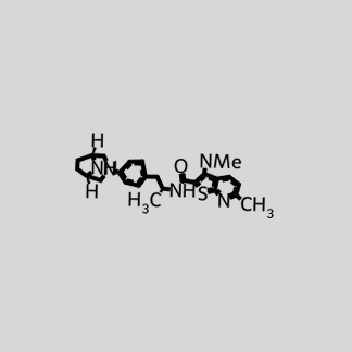 CNc1c(C(=O)N[C@@H](C)Cc2ccc(N3C[C@H]4CC[C@@H](C3)N4)cc2)sc2nc(C)ccc12